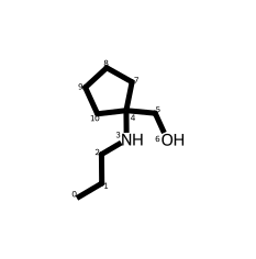 CCCNC1(CO)CCCC1